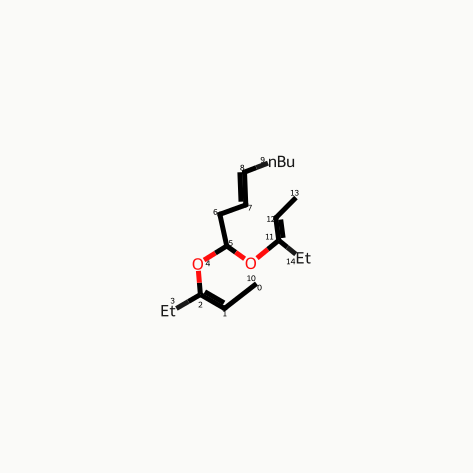 CC=C(CC)OC(CC=CCCCC)OC(=CC)CC